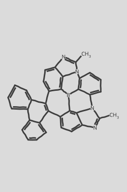 Cc1nc2ccc3c4c2n1-c1cccc2c1B4c1c(ccc4nc(C)n-2c14)-c1c-3c2ccccc2c2ccccc12